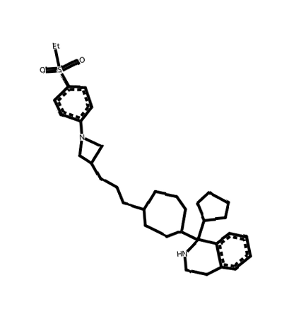 CCS(=O)(=O)c1ccc(N2CC(CCCC3CCCC(C4(C5CCCC5)NCCc5ccccc54)CC3)C2)cc1